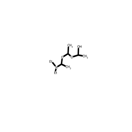 CCN(CC)C(C)OC(C)OC(C)O